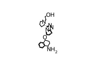 NC1CCC(Oc2ccc3nnc([C@@H]4CCCN4CCO)n3c2)c2ccccc21